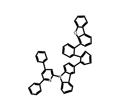 c1ccc(-c2cc(-c3ccccc3)nc(-n3c4ccccc4c4cc(-c5ccccc5-c5ccccc5-c5cccc6c5oc5ccccc56)ccc43)c2)cc1